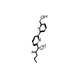 CCCC(I)[C@H](O)c1cccc(-c2cccc(CO)n2)n1